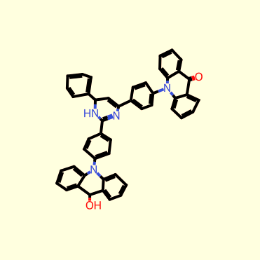 O=c1c2ccccc2n(-c2ccc(C3=CC(c4ccccc4)NC(c4ccc(N5c6ccccc6C(O)c6ccccc65)cc4)=N3)cc2)c2ccccc12